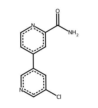 NC(=O)c1cc(-c2cncc(Cl)c2)ccn1